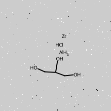 Cl.OCC(O)CO.[AlH3].[Zr]